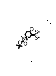 CSC(SC)=C1CC(C)(N(C)C(=O)OC(C)(C)C)CCC1=O